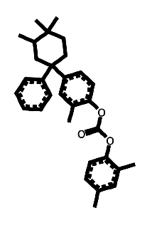 Cc1ccc(OC(=O)Oc2ccc(C3(c4ccccc4)CCC(C)(C)C(C)C3)cc2C)c(C)c1